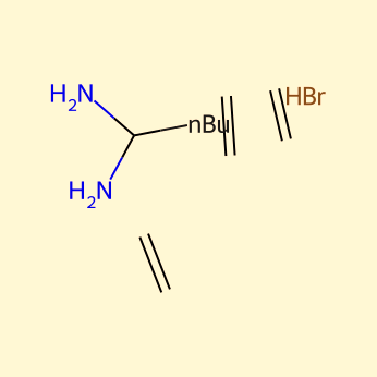 Br.C=C.C=C.C=C.CCCCC(N)N